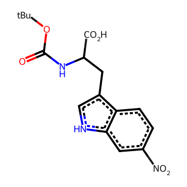 CC(C)(C)OC(=O)NC(Cc1c[nH]c2cc([N+](=O)[O-])ccc12)C(=O)O